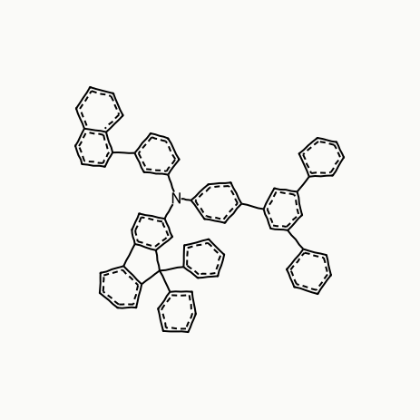 c1ccc(-c2cc(-c3ccccc3)cc(-c3ccc(N(c4cccc(-c5cccc6ccccc56)c4)c4ccc5c(c4)C(c4ccccc4)(c4ccccc4)c4ccccc4-5)cc3)c2)cc1